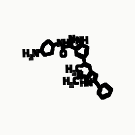 C=Nc1[nH]c(-c2ccccc2)cc1/C=C(\C)c1ccc2[nH]nc(C(=O)NC3CCC(N)CC3)c2c1